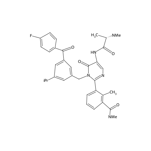 CNC(=O)c1cccc(-c2ncc(NC(=O)[C@H](C)NC)c(=O)n2Cc2cc(C(=O)c3ccc(F)cc3)cc(C(C)C)c2)c1C